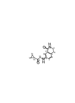 O=C1NCCc2ccc(NCC(=O)C3CC3)cc21